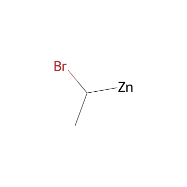 C[CH]([Zn])Br